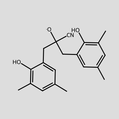 Cc1cc(C)c(O)c(CC([O])(C#N)Cc2cc(C)cc(C)c2O)c1